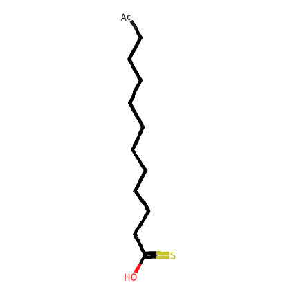 CC(=O)CCCCCCCCCCC(O)=S